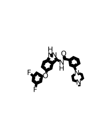 CN1CCN(c2cccc(C(=O)Nc3n[nH]c4ccc(Oc5cc(F)cc(F)c5)cc34)c2)CC1